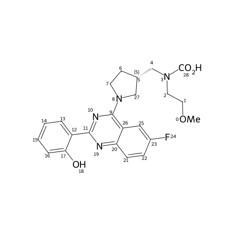 COCCN(C[C@H]1CCN(c2nc(-c3ccccc3O)nc3ccc(F)cc23)C1)C(=O)O